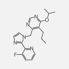 CCCc1c(Cn2ccnc2-c2ncccc2F)ncnc1OC(C)C